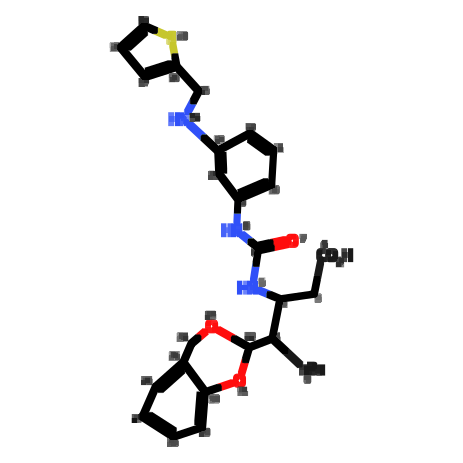 CCCCC(C(CC(=O)O)NC(=O)Nc1cccc(NCc2cccs2)c1)C1OCc2ccccc2O1